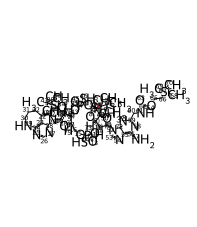 CC(C)(C)[Si](C)(C)CO[C@H]1[C@H]2OP(=O)(S)OC[C@H]3O[C@@H](n4cc5c6c(ncnc64)NCCC5)[C@H](O[Si](C)(C)C(C)(C)C)[C@@H]3OP(=O)(S)OC[C@H]1O[C@H]2n1cnc2c(N)nc(CNC(=O)OCC[Si](C)(C)C)nc21